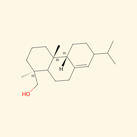 CC(C)C1C=C2CCC3[C@@](C)(CO)CCC[C@]3(C)[C@@H]2CC1